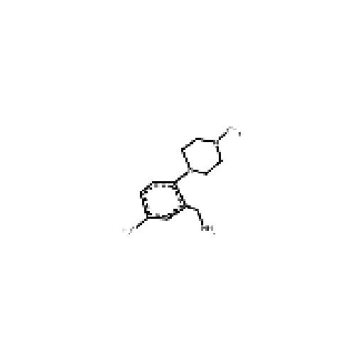 Cc1ccc(N2CCN(C)CC2)c(CN)c1